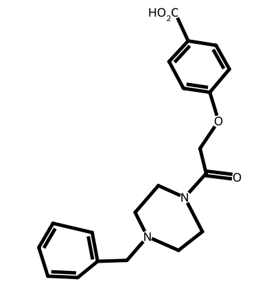 O=C(O)c1ccc(OCC(=O)N2CCN(Cc3ccccc3)CC2)cc1